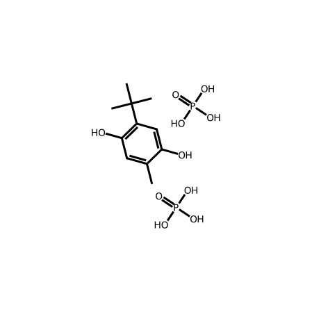 Cc1cc(O)c(C(C)(C)C)cc1O.O=P(O)(O)O.O=P(O)(O)O